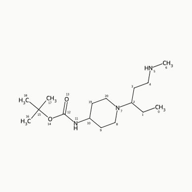 CCC(CCNC)N1CCC(NC(=O)OC(C)(C)C)CC1